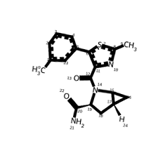 Cc1cccc(-c2sc(C)nc2C(=O)N2C3C[C@@H]3C[C@H]2C(N)=O)c1